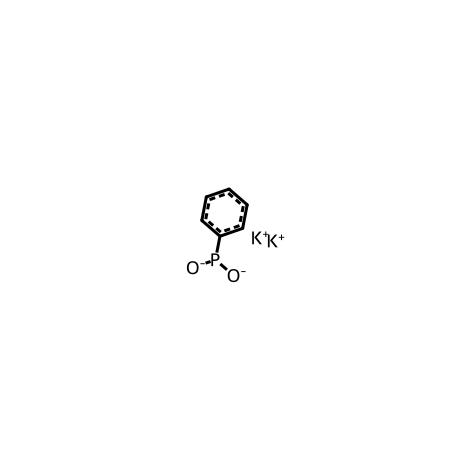 [K+].[K+].[O-]P([O-])c1ccccc1